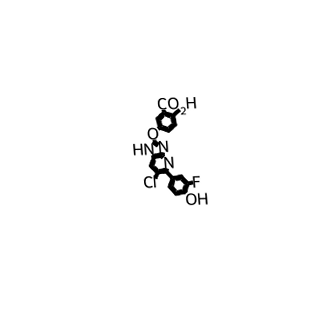 Cc1ccc(Oc2nc3nc(-c4ccc(O)c(F)c4)c(Cl)cc3[nH]2)cc1C(=O)O